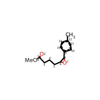 COC(=O)CCCC1OC1c1ccc(C)cc1